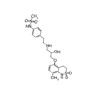 Cc1ccc(OCC(O)CNCCc2ccc(NS(C)(=O)=O)cc2)c2c1NS(=O)(=O)CC2